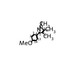 COc1ccc(-c2nn(C)c(C)c2C)cc1